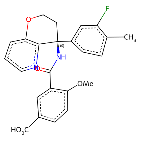 COc1ccc(C(=O)O)cc1C(=O)N[C@]1(c2ccc(C)c(F)c2)CCOc2cccnc21